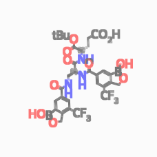 CC(C)(C)OC(=O)[C@H](CCC(=O)O)NC(=O)[C@H](CNC(=O)c1cc2c(c(C(F)(F)F)c1)COB2O)NC(=O)c1cc2c(c(C(F)(F)F)c1)COB2O